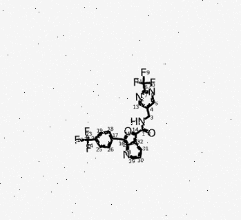 O=C(NCc1cnc(C(F)(F)F)nc1)c1oc(-c2ccc(C(F)(F)F)cc2)c2ncccc12